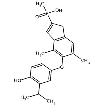 Cc1cc2c(c(C)c1Oc1ccc(O)c(C(C)C)c1)C=C(P(C)(=O)O)C2